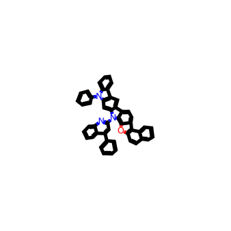 c1ccc(-c2cc(-n3c4cc5c(cc4c4ccc6c(oc7ccc8ccccc8c76)c43)c3ccccc3n5-c3ccccc3)nc3ccccc23)cc1